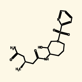 C[C@@H](CC(N)=O)CC(=O)NC1CCCN(S(=O)(=O)c2ccccn2)CC1O